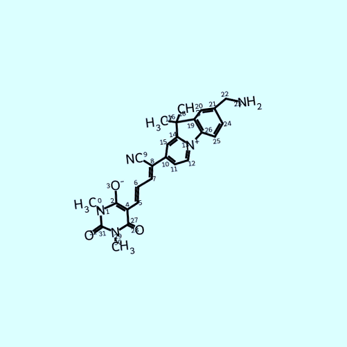 Cn1c([O-])c(C=CC=C(C#N)c2cc[n+]3c(c2)C(C)(C)c2cc(CN)ccc2-3)c(=O)n(C)c1=O